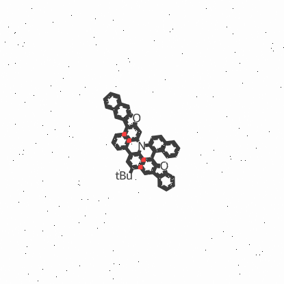 CC(C)(C)c1ccc(N(c2ccc3c(c2)oc2cc4ccccc4cc23)c2ccc3ccccc3c2-c2cccc3c2oc2ccccc23)c(-c2ccccc2)c1